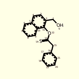 OCc1ccc2ccccc2c1OC(=S)Cc1ccccc1